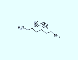 CC#N.CC#N.NCCCCCCN